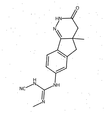 CN=C(NC#N)Nc1ccc2c(c1)CC1(C)CC(=O)NN=C21